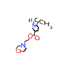 CC(C)c1ccc(C(=O)OCCN2CCOCC2)cn1